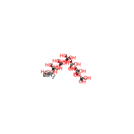 O.OB(O)O.OB(O)O.OB(O)O.OB(O)O.OB(O)O.OB(O)O.[CaH2].[CaH2]